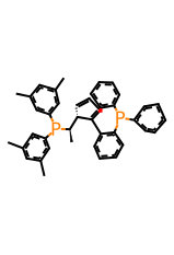 Cc1cc(C)cc(P(c2cc(C)cc(C)c2)[C@H](C)[C@@H]2C=CC=C2c2ccccc2P(c2ccccc2)c2ccccc2)c1